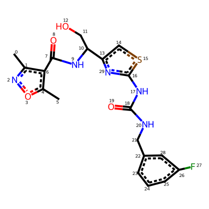 Cc1noc(C)c1C(=O)NC(CO)c1csc(NC(=O)NCc2cccc(F)c2)n1